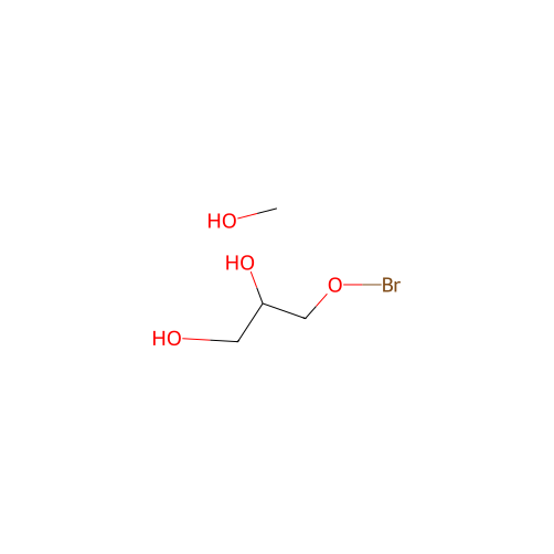 CO.OCC(O)COBr